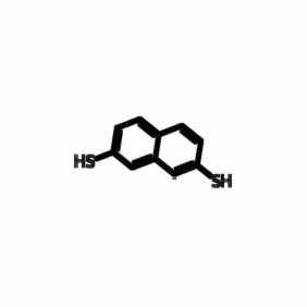 Sc1[c]c2cc(S)ccc2cc1